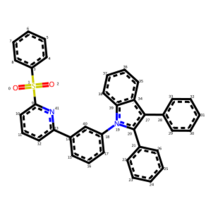 O=S(=O)(c1ccccc1)c1cccc(-c2cccc(-n3c(-c4ccccc4)c(-c4ccccc4)c4ccccc43)c2)n1